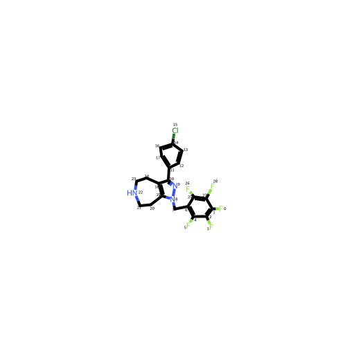 Fc1c(F)c(F)c(Cn2nc(-c3ccc(Cl)cc3)c3c2CCNCC3)c(F)c1F